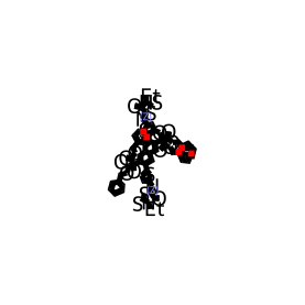 CCN1C(=O)/C(=N/c2cc3c(s2)C2=CC4C=C5C(=CC4C=C2C(C(=O)OCc2ccccc2)(C(=O)OCc2ccccc2)O3)c2sc(/N=C3\SC(=S)N(CC)C3=O)cc2OC5(C(=O)OCc2ccccc2)C(=O)OCc2ccccc2)SC1=S